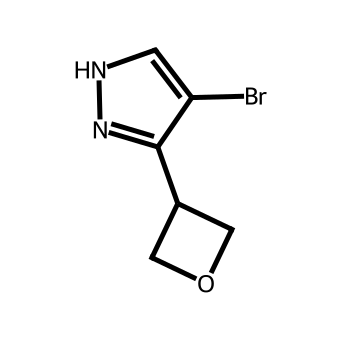 Brc1c[nH]nc1C1COC1